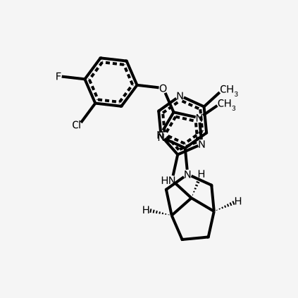 Cc1cc(N2C[C@H]3CC[C@@H](C2)[C@H]3Nc2nc(Oc3ccc(F)c(Cl)c3)n(C)n2)ncn1